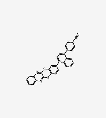 N#Cc1ccc(-c2ccc(-c3ccc4c(c3)Sc3nc5ccccc5nc3S4)c3ccccc23)cc1